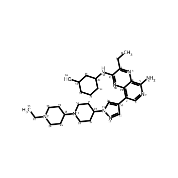 CCc1nc2c(N)ncc(-c3cnn(C4CCN(C5CCN(CC)CC5)CC4)c3)c2nc1NC1CCCC(O)C1